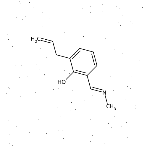 C=CCc1cccc(/C=N/C)c1O